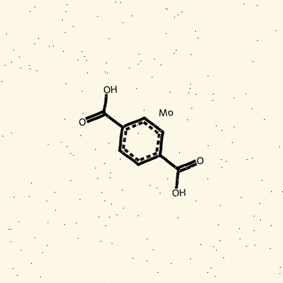 O=C(O)c1ccc(C(=O)O)cc1.[Mo]